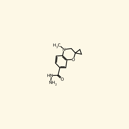 CN1CC2(CC2)Oc2cc(C(=O)NN)ccc21